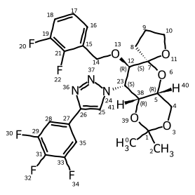 CC1(C)OC[C@H]2O[C@@]3(CCCO3)[C@H](OCc3cccc(F)c3F)[C@@H](n3cc(-c4cc(F)c(F)c(F)c4)nn3)[C@H]2O1